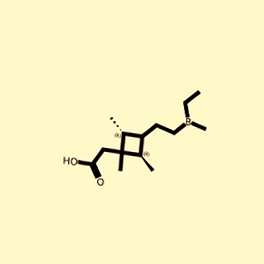 CCB(C)CCC1[C@@H](C)C(C)(CC(=O)O)[C@@H]1C